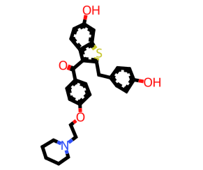 O=C(c1ccc(OCCN2CCCCC2)cc1)c1c(Cc2ccc(O)cc2)sc2cc(O)ccc12